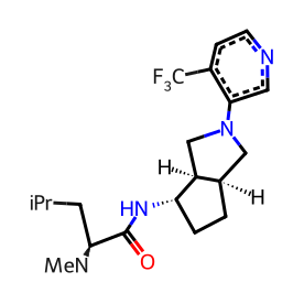 CN[C@@H](CC(C)C)C(=O)N[C@H]1CC[C@@H]2CN(c3cnccc3C(F)(F)F)C[C@@H]21